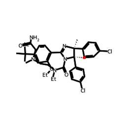 CCOc1cc(C(C)(C)C(C)=O)ccc1C1=N[C@@](C)(c2ccc(Cl)cc2)[C@@](C)(c2ccc(Cl)cc2)N1C(=O)N(CC)CCN(C)CC(N)=O